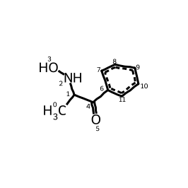 CC(NO)C(=O)c1ccccc1